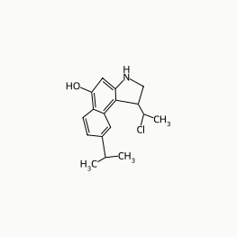 CC(C)c1ccc2c(O)cc3c(c2c1)C(C(C)Cl)CN3